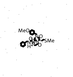 COc1ccc(CN2C[C@H]3N(C(=O)CN(C)N3C(=O)NCc3ccccc3)[C@@H](CCSC)C2=O)cc1